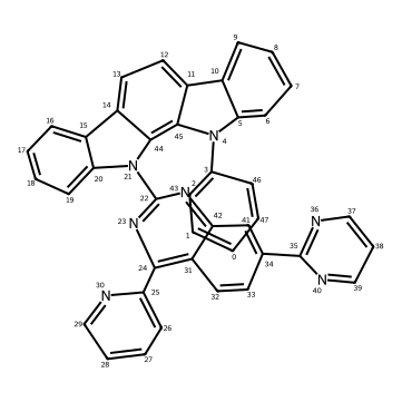 c1ccc(-n2c3ccccc3c3ccc4c5ccccc5n(-c5nc(-c6ccccn6)c6ccc(-c7ncccn7)cc6n5)c4c32)cc1